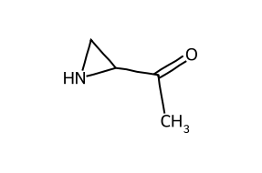 CC(=O)C1CN1